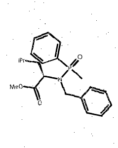 COC(=O)[C@@H](CC(C)C)N(Cc1ccccc1)P(C)(=O)c1ccccc1